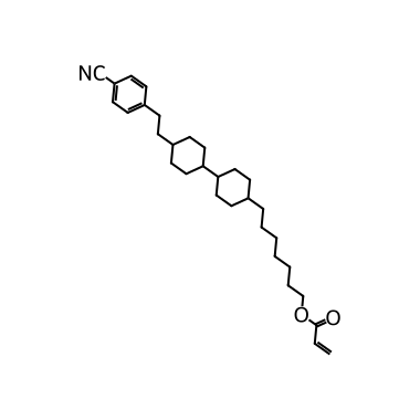 C=CC(=O)OCCCCCCCC1CCC(C2CCC(CCc3ccc(C#N)cc3)CC2)CC1